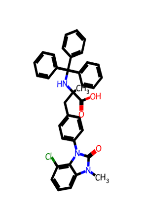 Cn1c(=O)n(-c2ccc(CC(C)(NC(c3ccccc3)(c3ccccc3)c3ccccc3)C(=O)O)cc2)c2c(Cl)cccc21